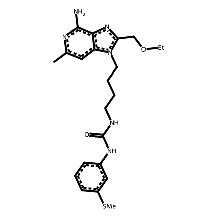 CCOCc1nc2c(N)nc(C)cc2n1CCCCNC(=O)Nc1cccc(SC)c1